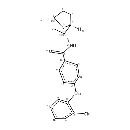 O=C(N[C@@H]1C[C@H]2CC[C@@H]1N2)c1ccc(Oc2cnccc2Cl)cc1